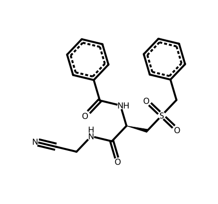 N#CCNC(=O)[C@H](CS(=O)(=O)Cc1ccccc1)NC(=O)c1ccccc1